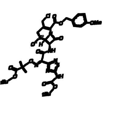 CCCCOC(=O)C(C)(C)O/N=C(\C(=O)N[C@@H]1C(=O)N2C(C(=O)OCc3ccc(OC)cc3)=C(CCl)C[S+]([O-])[C@H]12)c1nsc(NC(=O)OC(C)(C)C)n1